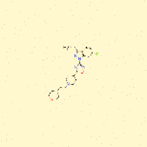 CCc1nn(-c2noc(C3CCN(CCC4CCOCC4)CC3)n2)c2cc(F)ccc12